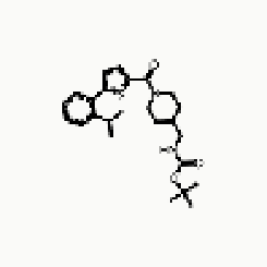 CC(C)c1ccccc1-c1ccc(C(=O)N2CCC(CNC(=O)OC(C)(C)C)CC2)s1